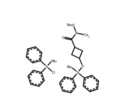 CC(C)(C)[Si](Cl)(c1ccccc1)c1ccccc1.CON(C)C(=O)C1CC(O[Si](c2ccccc2)(c2ccccc2)C(C)(C)C)C1